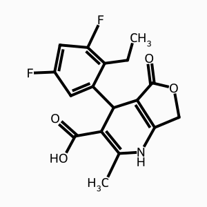 CCc1c(F)cc(F)cc1C1C(C(=O)O)=C(C)NC2=C1C(=O)OC2